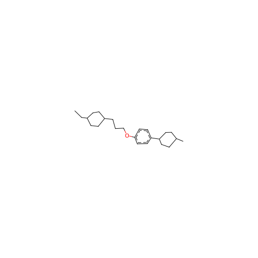 CCC1CCC(CCCOc2ccc(C3CCC(C)CC3)cc2)CC1